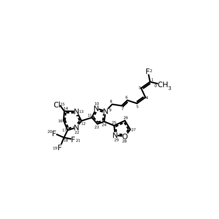 C\C(F)=C/C=C\C=C\Cn1nc(-c2nc(Cl)cc(C(F)(F)F)n2)cc1-c1ccon1